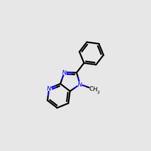 Cn1c(-c2ccccc2)nc2ncccc21